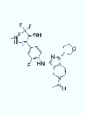 CN/C=C(\C(=N)C(F)(F)F)c1ccc(Nc2nn(C3CCOC3)c3c2CN(C(C)=O)CC3)c(F)c1